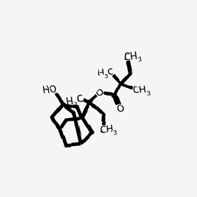 CCC(C)(C)C(=O)OC(C)(CC)C12CC3CC(CC(O)(C3)C1)C2